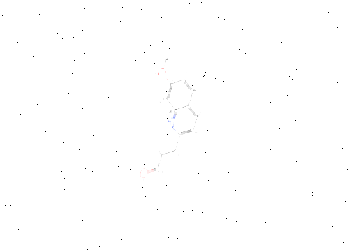 COc1ccc2ccc(CCC=O)nc2c1